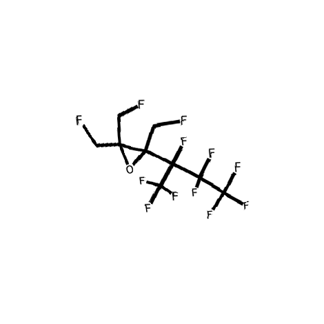 FCC1(CF)OC1(CF)C(F)(C(F)(F)F)C(F)(F)C(F)(F)F